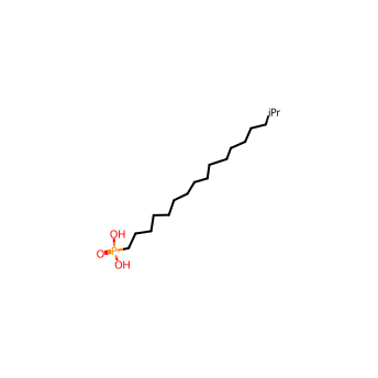 CC(C)CCCCCCCCCCCCCCCP(=O)(O)O